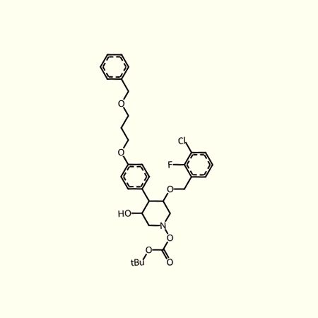 CC(C)(C)OC(=O)ON1CC(O)C(c2ccc(OCCCOCc3ccccc3)cc2)C(OCc2cccc(Cl)c2F)C1